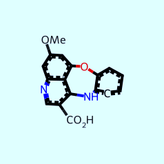 COc1cc2c3c(c(C(=O)O)cnc3c1)Nc1ccccc1O2